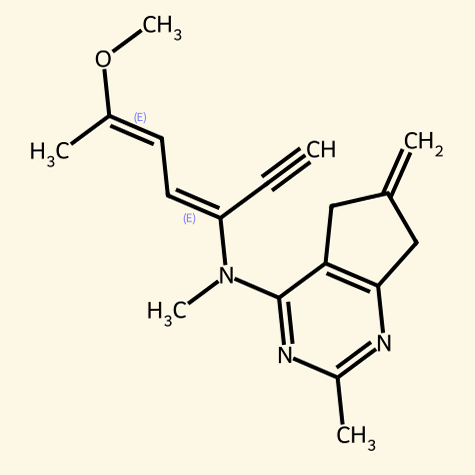 C#C/C(=C\C=C(/C)OC)N(C)c1nc(C)nc2c1CC(=C)C2